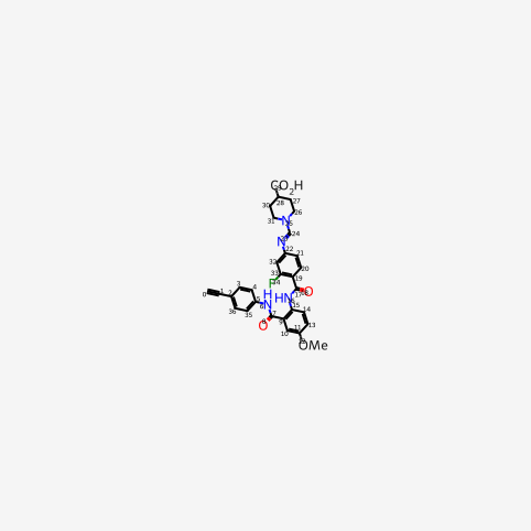 C#Cc1ccc(NC(=O)c2cc(OC)ccc2NC(=O)c2ccc(N=CN3CCC(C(=O)O)CC3)cc2F)cc1